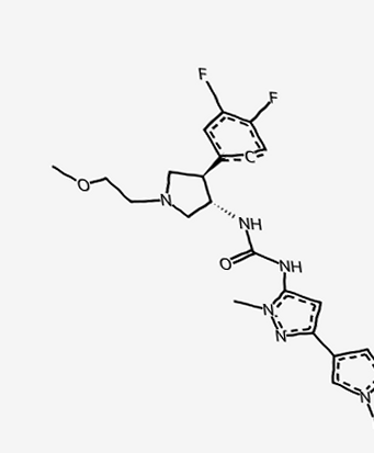 COCCN1C[C@@H](NC(=O)Nc2cc(-c3cnn(I)c3)nn2C)[C@H](c2ccc(F)c(F)c2)C1